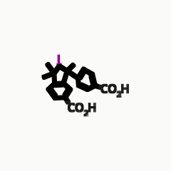 CC1(C)c2ccc(C(=O)O)cc2C(C)(c2ccc(C(=O)O)cc2)C1I